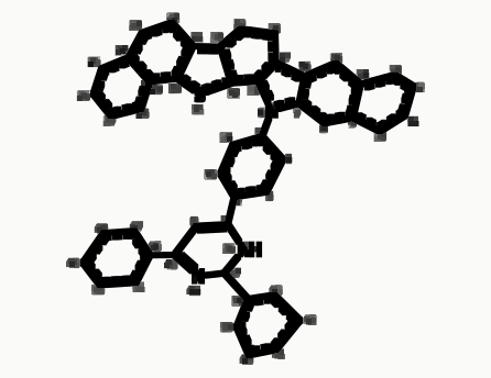 C1=C(c2ccc(-n3c4cc5ccccc5cc4c4ccc5c6ccc7ccccc7c6sc5c43)cc2)NC(c2ccccc2)N=C1c1ccccc1